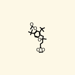 CC(=O)Oc1c(C(C)(C)C)cc2c(c1C(C)(C)C)CC(C)(CCC1OCCO1)O2